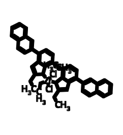 CCC1=Cc2c(-c3ccc4ccccc4c3)ccc(C)c2[CH]1[Zr]([Cl])([Cl])([CH2]C)[CH]1C(CC)=Cc2c(-c3ccc4ccccc4c3)ccc(C)c21